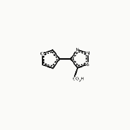 O=C(O)c1snnc1-c1ccoc1